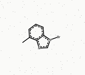 Cc1cccc2c1ncn2Br